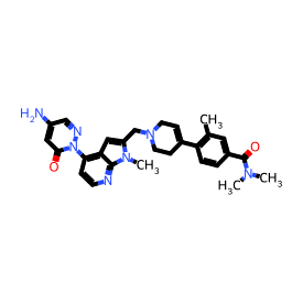 Cc1cc(C(=O)N(C)C)ccc1C1=CCN(Cc2cc3c(-n4ncc(N)cc4=O)ccnc3n2C)CC1